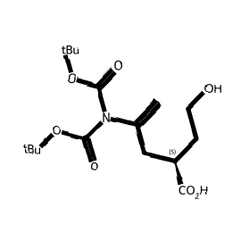 C=C(C[C@@H](CCO)C(=O)O)N(C(=O)OC(C)(C)C)C(=O)OC(C)(C)C